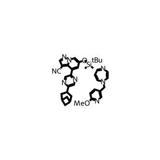 CC(C)(C)[Si](C)(C)Oc1cc(-c2cnc(C3CC4CC(C4)C3)cn2)c2c(C#N)cnn2c1.COc1ccc(CN2C=CC=NC=C2)cn1